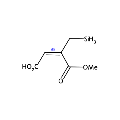 COC(=O)/C(=C\C(=O)O)C[SiH3]